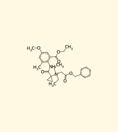 CCOC(=O)c1cc(OC)cc(C)c1NC(=O)C1([N+](CC)(CC)CC(=O)OCc2ccccc2)CC1